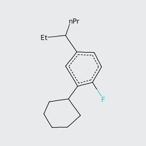 CCCC(CC)c1ccc(F)c(C2CCCCC2)c1